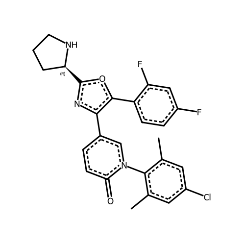 Cc1cc(Cl)cc(C)c1-n1cc(-c2nc([C@H]3CCCN3)oc2-c2ccc(F)cc2F)ccc1=O